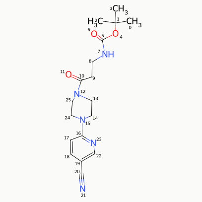 CC(C)(C)OC(=O)NCCC(=O)N1CCN(c2ccc(C#N)cn2)CC1